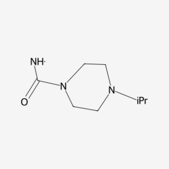 CC(C)N1CCN(C([NH])=O)CC1